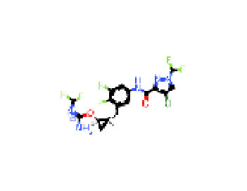 N/C(=N/C(F)F)O[C@H]1C[C@H]1Cc1cc(NC(=O)c2nn(C(F)F)cc2Cl)cc(F)c1F